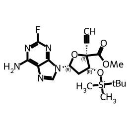 C#C[C@@]1(C(=O)OC)O[C@@H](n2cnc3c(N)nc(F)nc32)C[C@H]1O[Si](C)(C)C(C)(C)C